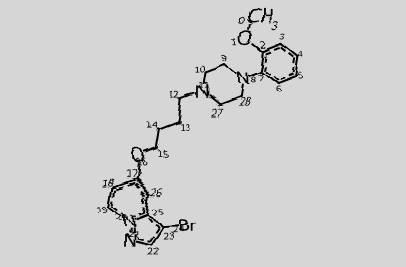 COc1ccccc1N1CCN(CCCCOc2ccn3ncc(Br)c3c2)CC1